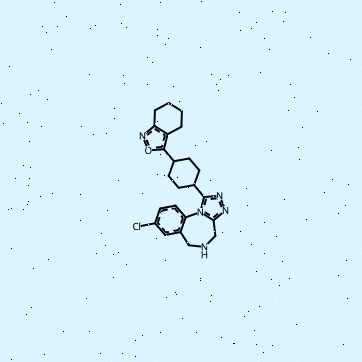 Clc1ccc2c(c1)CNCc1nnc(C3CCC(c4onc5c4CCCC5)CC3)n1-2